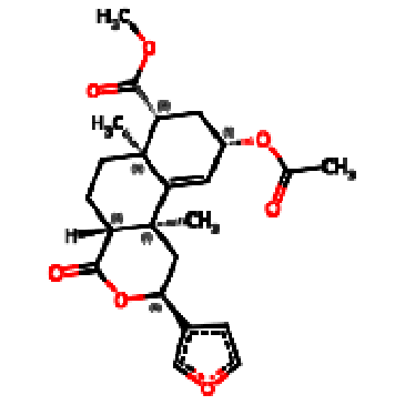 COC(=O)[C@@H]1C[C@H](OC(C)=O)C=C2[C@@]1(C)CC[C@H]1C(=O)O[C@H](c3ccoc3)C[C@]21C